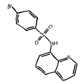 O=S(=O)(Nc1cccc2cccnc12)c1ccc(Br)cc1